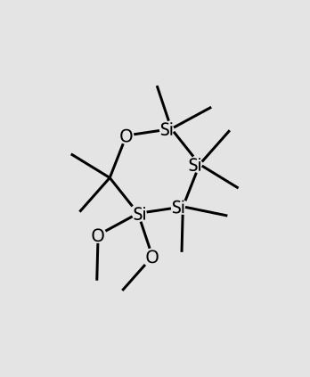 CO[Si]1(OC)C(C)(C)O[Si](C)(C)[Si](C)(C)[Si]1(C)C